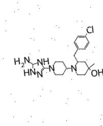 CC1(O)CCN(C2CCN(C3=NNC(N)N3)CC2)C(Cc2ccc(Cl)cc2)C1